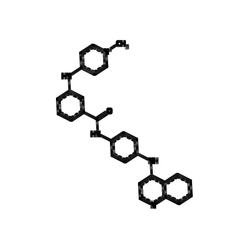 C[n+]1ccc(Nc2cccc(C(=O)Nc3ccc(Nc4ccnc5ccccc45)cc3)c2)cc1